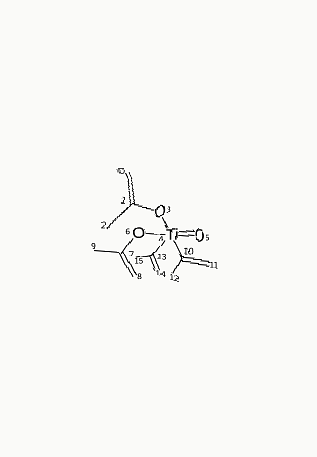 C=C(C)[O][Ti](=[O])([O]C(=C)C)([C](=C)C)[C](=C)C